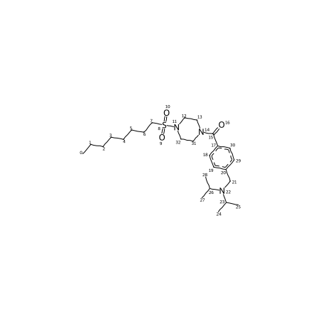 CCCCCCCCS(=O)(=O)N1CCN(C(=O)c2ccc(CN(C(C)C)C(C)C)cc2)CC1